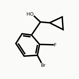 OC(c1cccc(Br)c1F)C1CC1